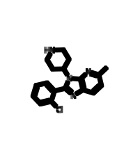 Cc1ccc2nc(-c3ccccc3Cl)n(C3CCNCC3)c2n1